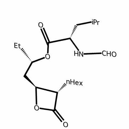 CCCCCC[C@@H]1C(=O)O[C@H]1C[C@H](CC)OC(=O)[C@H](CC(C)C)NC=O